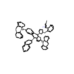 C/C=C\c1ccccc1Cc1cccc(-c2c3ccc(N4c5ccccc5Cc5ccccc54)cc3c(-c3ccc4ccccc4c3)c3ccc(N4c5ccccc5Cc5ccccc54)cc23)c1